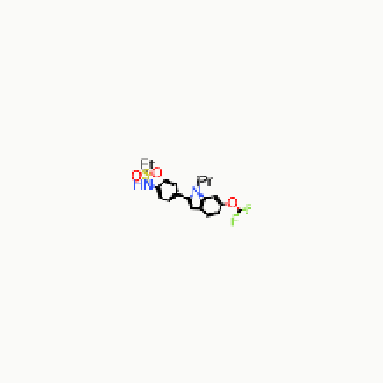 CCS(=O)(=O)Nc1ccc(-c2cc3ccc(OC(F)F)cc3n2C(C)C)cc1